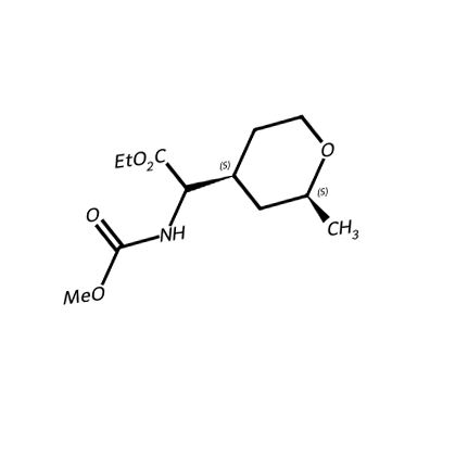 CCOC(=O)C(NC(=O)OC)[C@H]1CCO[C@@H](C)C1